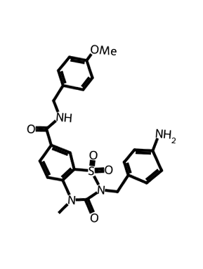 COc1ccc(CNC(=O)c2ccc3c(c2)S(=O)(=O)N(Cc2ccc(N)cc2)C(=O)N3C)cc1